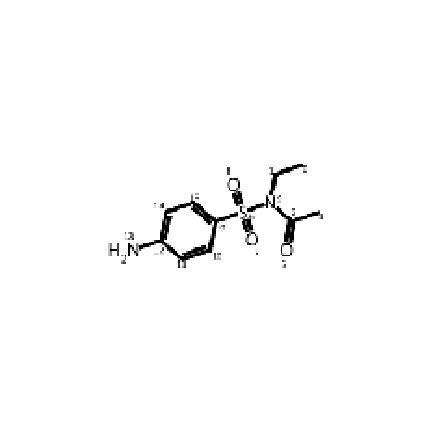 CCN(C(C)=O)S(=O)(=O)c1ccc(N)cc1